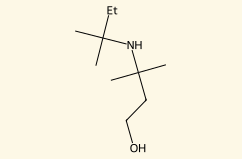 CCC(C)(C)NC(C)(C)CCO